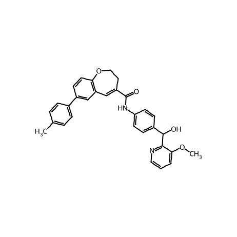 COc1cccnc1C(O)c1ccc(NC(=O)C2=Cc3cc(-c4ccc(C)cc4)ccc3OCC2)cc1